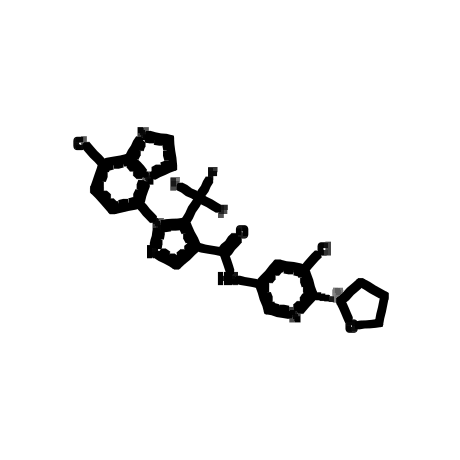 O=C(Nc1cnc([C@@H]2CCCO2)c(Cl)c1)c1cnn(-c2ccc(Cl)c3nccn23)c1C(F)(F)F